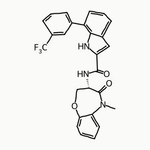 CN1C(=O)[C@@H](NC(=O)c2cc3cccc(-c4cccc(C(F)(F)F)c4)c3[nH]2)COc2ccccc21